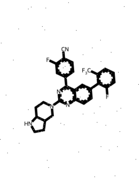 N#Cc1ccc(-c2nc(N3CCC4NCCC4C3)nc3ccc(-c4c(F)cccc4C(F)(F)F)cc23)cc1F